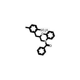 Cc1ccc(S(=O)(=O)O)c(CC2CN(C(=O)c3ccccc3)c3ccccc3O2)c1